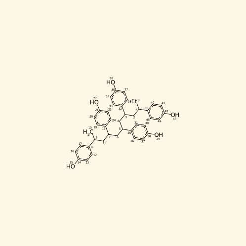 CCC(CC(CC(CC(CC(C)c1ccc(O)cc1)c1ccc(O)cc1)c1ccc(O)cc1)c1ccc(O)cc1)c1ccc(O)cc1